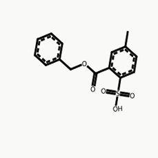 Cc1ccc(S(=O)(=O)O)c(C(=O)OCc2ccccc2)c1